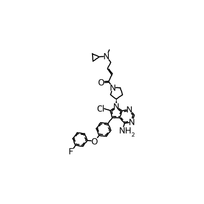 CN(CC=CC(=O)N1CC[C@@H](n2c(Cl)c(-c3ccc(Oc4cccc(F)c4)cc3)c3c(N)ncnc32)C1)C1CC1